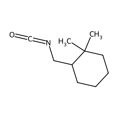 CC1(C)CCCCC1CN=C=O